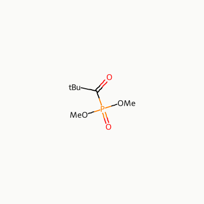 COP(=O)(OC)C(=O)C(C)(C)C